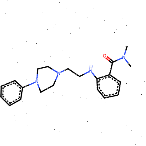 CN(C)C(=O)c1ccccc1NCCN1CCN(c2ccccc2)CC1